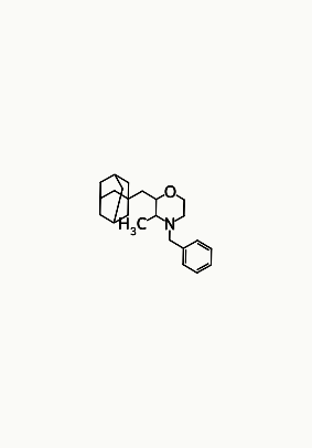 CC1C(CC23CC4CC(CC(C4)C2)C3)OCCN1Cc1ccccc1